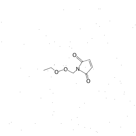 CCOOCN1C(=O)C=CC1=O